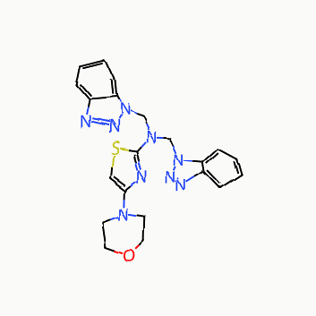 c1ccc2c(c1)nnn2CN(Cn1nnc2ccccc21)c1nc(N2CCOCC2)cs1